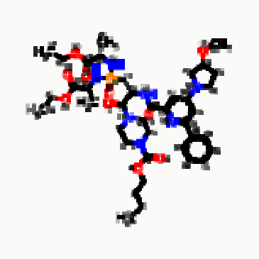 CCCCOC(=O)N1CCN(C(=O)[C@H](CP(=O)(N[C@@H](C)C(=O)OCC)N[C@@H](C)C(=O)OCC)NC(=O)c2cc(N3CC[C@H](OC)C3)cc(-c3ccccc3)n2)CC1